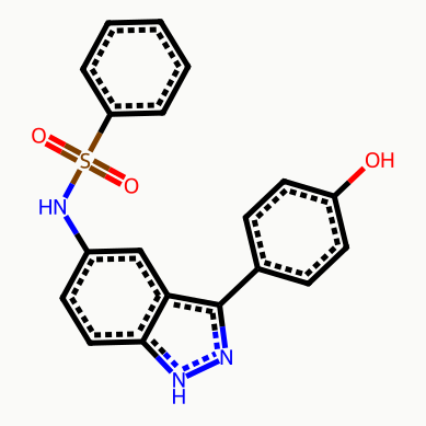 O=S(=O)(Nc1ccc2[nH]nc(-c3ccc(O)cc3)c2c1)c1ccccc1